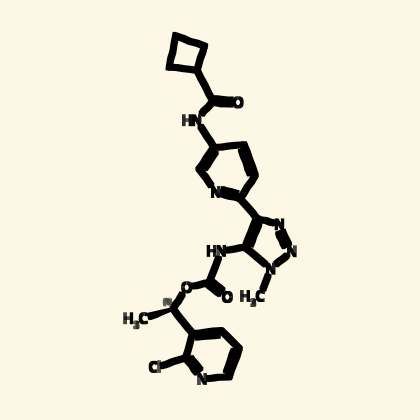 C[C@@H](OC(=O)Nc1c(-c2ccc(NC(=O)C3CCC3)cn2)nnn1C)c1cccnc1Cl